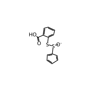 O=C(O)c1ccccc1S[S+]([O-])c1ccccc1